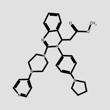 COC(=O)CC1c2ccccc2N=C(N2CCN(c3ccncc3)CC2)N1c1ccc(N2CCCC2)cc1